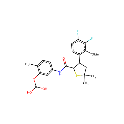 COc1c(C2CC(C)(C(F)(F)F)SC2C(=O)Nc2ccc(C)c(OB(O)O)c2)ccc(F)c1F